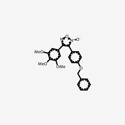 COc1cc(-c2no[n+]([O-])c2-c2ccc(OCc3ccccc3)cc2)cc(OC)c1OC